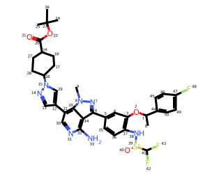 CC(Oc1cc(-c2nn(C)c3c(-c4cnn(C5CCC(C(=O)OC(C)(C)C)CC5)c4)cnc(N)c23)ccc1N[S+]([O-])C(F)F)c1ccc(F)cc1